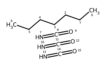 CCCCCCC.N=C=O.N=C=O.N=C=O